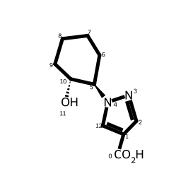 O=C(O)c1cnn([C@@H]2CCCC[C@H]2O)c1